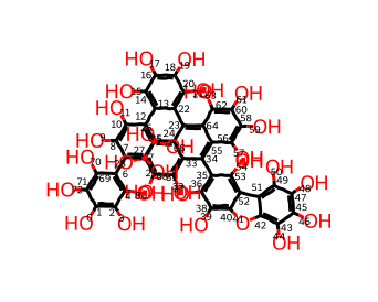 Oc1c(O)c(O)c(-c2c(O)c(O)c(-c3c(O)c(O)c(O)c(O)c3-c3c4c(O)c(O)c(O)c(O)c4c(-c4c(O)c(O)c5oc6c(O)c(O)c(O)c(O)c6c5c4O)c4c(O)c(O)c(O)c(O)c34)c(O)c2O)c(O)c1O